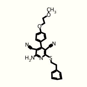 COCCOc1ccc(-c2c(C#N)c(N)nc(SCCc3ccccc3)c2C#N)cc1